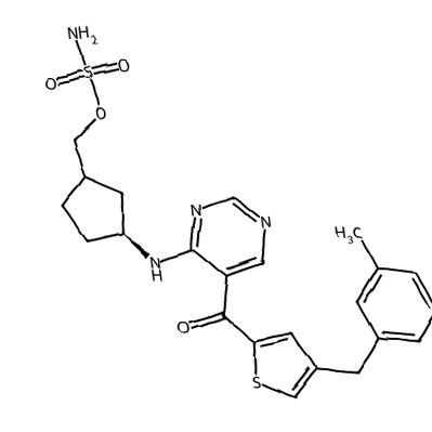 Cc1cccc(Cc2csc(C(=O)c3cncnc3N[C@H]3CCC(COS(N)(=O)=O)C3)c2)c1